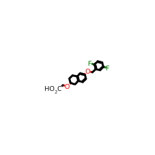 O=C(O)COC1CCc2cc(OCc3cc(F)ccc3F)ccc2C1